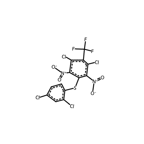 O=[N+]([O-])c1c(Cl)c(C(F)(F)F)c(Cl)c([N+](=O)[O-])c1Sc1ccc(Cl)cc1Cl